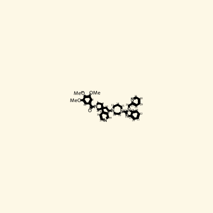 COc1cc(C(=O)N2CCC(CCN3CCCN(c4nc5ccccc5n4Cc4ccccn4)CC3)(c3ccncc3)C2)cc(OC)c1OC